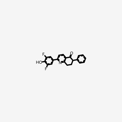 O=C1c2ccc(-c3cc(F)c(O)c(F)c3)nc2CCC1c1ccccc1